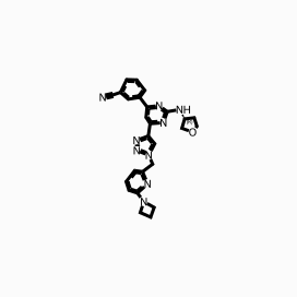 N#Cc1cccc(-c2cc(-c3cn(Cc4cccc(N5CCC5)n4)nn3)nc(N[C@@H]3CCOC3)n2)c1